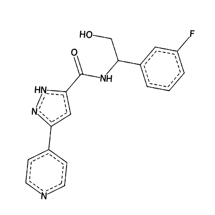 O=C(NC(CO)c1cccc(F)c1)c1cc(-c2ccncc2)n[nH]1